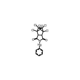 O=C1C2C(C(=O)[N]1[Hg][c]1ccccc1)C1(Cl)C(Cl)=C(Cl)C2(Cl)C1(Cl)Cl